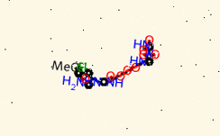 COc1ccc(C(N)=O)c(-c2cc(C(CNC3CCC(NC(=O)CCOCCOCCOCCNc4cccc5c4C(=O)N(C4CCC(=O)NC4=O)C5=O)CC3)c3ccccc3)ccc2Cl)c1F